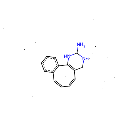 NC1NCC2=C(N1)c1ccccc1C=CC=C2